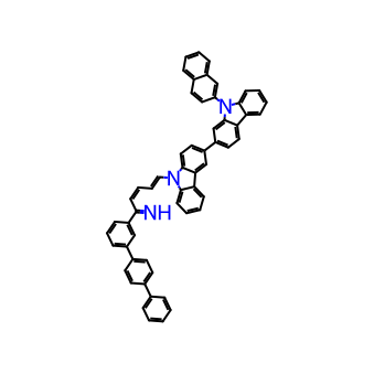 N=C(/C=C\C=C\n1c2ccccc2c2cc(-c3ccc4c5ccccc5n(-c5ccc6ccccc6c5)c4c3)ccc21)c1cccc(-c2ccc(-c3ccccc3)cc2)c1